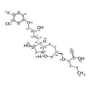 CCCC(OC[C@@H]1CC[C@@H]2[C@@H](/C=C/[C@@H](O)COc3ccc(F)c(Cl)c3)[C@H](O)C[C@@H]2OC1)C(=O)O